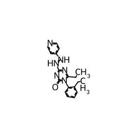 CCc1ccccc1-n1c(CC)nc(NNc2ccncc2)nc1=O